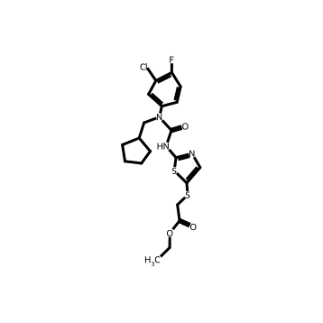 CCOC(=O)CSc1cnc(NC(=O)N(CC2CCCC2)c2ccc(F)c(Cl)c2)s1